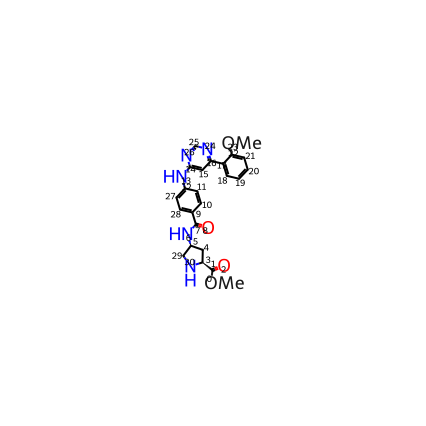 COC(=O)[C@@H]1C[C@H](NC(=O)c2ccc(Nc3cc(-c4ccccc4OC)ncn3)cc2)CN1